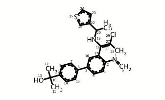 C=Nc1ccc(-c2ccc(C(C)(C)O)cc2)cc1/C(NC(C)c1ccsc1)=C(\C)Cl